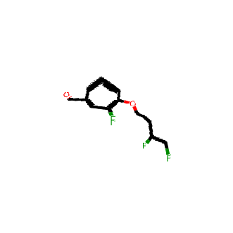 O=CC1=CC(F)=C(OCCC(F)CF)C=CC1